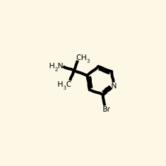 CC(C)(N)c1ccnc(Br)c1